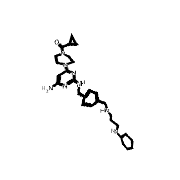 Nc1cc(N2CCN(C(=O)C3CC3)CC2)nc(NCc2ccc(CNCCCNC3CCCCC3)cc2)n1